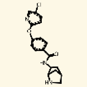 O=C(NC1CC2CNC1C2)c1ccc(Oc2ccc(Cl)cn2)cc1